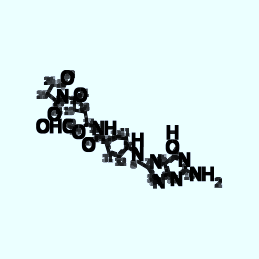 Nc1nc(O)c2nc(CNc3ccc(C(=O)NC(CCC(=O)N4C(=O)CCC4=O)OC=O)cc3)cnc2n1